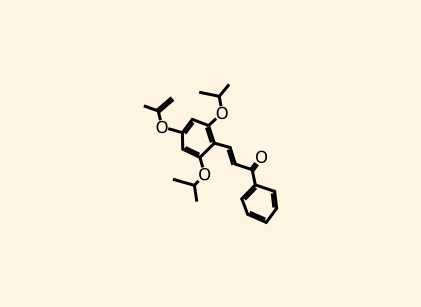 C=C(C)Oc1cc(OC(C)C)c(/C=C/C(=O)c2ccccc2)c(OC(C)C)c1